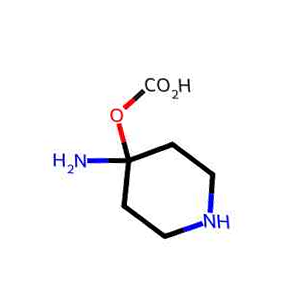 NC1(OC(=O)O)CCNCC1